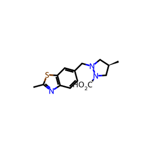 Cc1nc2ccc(CN3C[C@@H](C)CN3C(=O)O)cc2s1